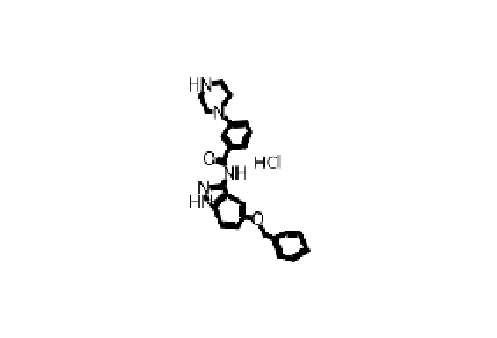 Cl.O=C(Nc1n[nH]c2ccc(OCc3ccccc3)cc12)c1cccc(N2CCNCC2)c1